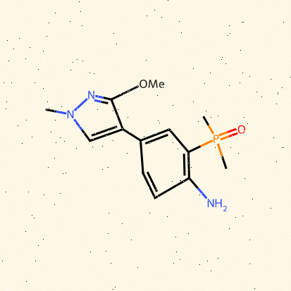 COc1nn(C)cc1-c1ccc(N)c(P(C)(C)=O)c1